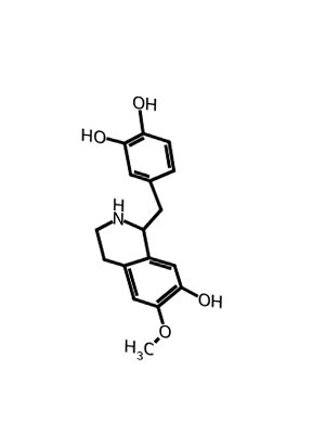 COc1cc2c(cc1O)C(Cc1ccc(O)c(O)c1)NCC2